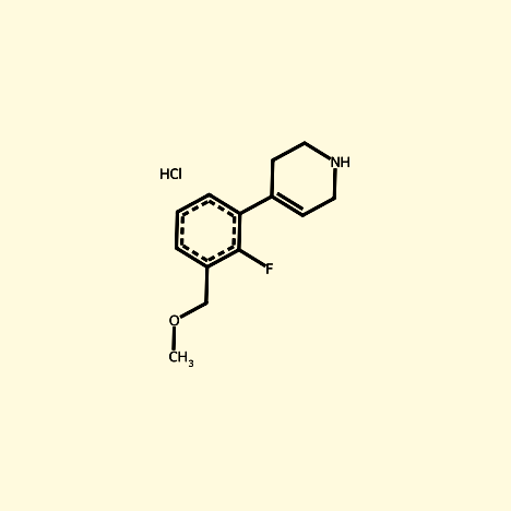 COCc1cccc(C2=CCNCC2)c1F.Cl